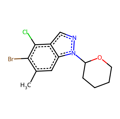 Cc1cc2c(cnn2C2CCCCO2)c(Cl)c1Br